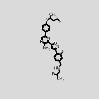 CC(F)CNCc1ccc(-c2cc(-c3nc(-c4ccc(SC(C)CCF)cc4)cnc3N)on2)c(F)c1